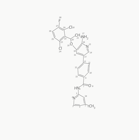 Cc1ccnc(NC(=O)c2ccc(-c3cnc(N)c(OC(C)c4c(Cl)ccc(F)c4Cl)c3)cc2)c1